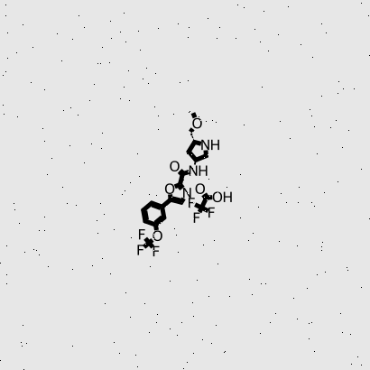 COC[C@H]1C[C@@H](NC(=O)c2ncc(-c3cccc(OC(F)(F)F)c3)o2)CN1.O=C(O)C(F)(F)F